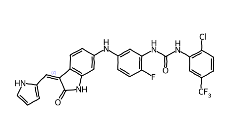 O=C(Nc1cc(Nc2ccc3c(c2)NC(=O)/C3=C\c2ccc[nH]2)ccc1F)Nc1cc(C(F)(F)F)ccc1Cl